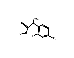 CCC(C)O[PH](=O)C(OC)c1ccc(C(F)(F)F)cc1F